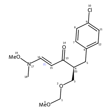 COCOC[C@H](Cc1ccc(Cl)cc1)C(=O)/C=C/N(C)OC